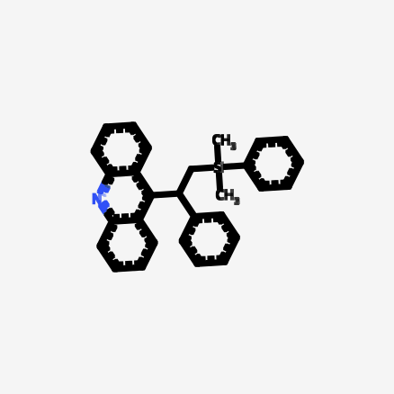 C[Si](C)(CC(c1ccccc1)c1c2ccccc2nc2ccccc12)c1ccccc1